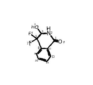 O=C1NC(O)C(F)(F)c2ccccc21